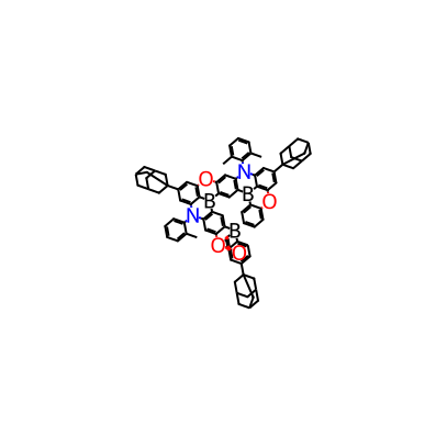 Cc1ccccc1N1c2cc3c(cc2B2c4cc5c(cc4Oc4cc(C67CC8CC(CC(C8)C6)C7)cc1c42)N(c1c(C)cccc1C)c1cc(C24CC6CC(CC(C6)C2)C4)cc2c1B5c1ccccc1O2)B1c2ccccc2Oc2cc(C45CC6CC(CC(C6)C4)C5)cc(c21)O3